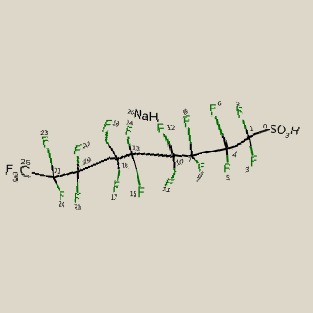 O=S(=O)(O)C(F)(F)C(F)(F)C(F)(F)C(F)(F)C(F)(F)C(F)(F)C(F)(F)C(F)(F)C(F)(F)F.[NaH]